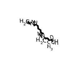 C=Cn1cc(/C=C/Cc2cn(C(=C)/C=C(\C)C(=O)O)nn2)nn1